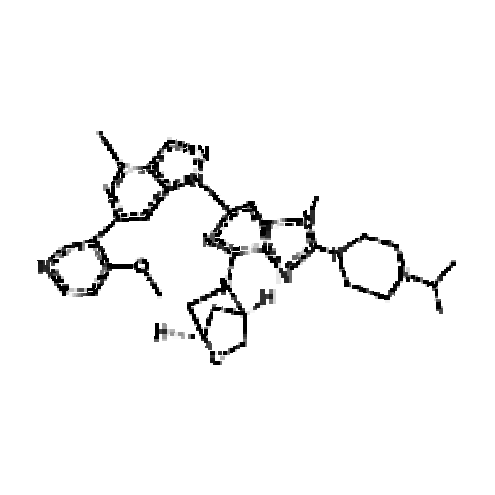 COc1ccncc1-c1cc2c(cnn2-c2cc3c(nc(N4CCN(C(C)C)CC4)n3C)c(N3C[C@H]4C[C@@H]3CO4)n2)c(C)n1